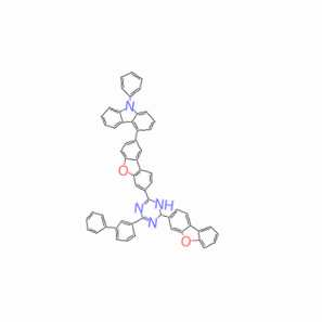 c1ccc(-c2cccc(C3=NC(c4ccc5c(c4)oc4ccccc45)NC(c4ccc5c(c4)oc4ccc(-c6cccc7c6c6ccccc6n7-c6ccccc6)cc45)=N3)c2)cc1